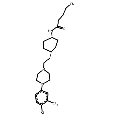 N#CCCCC(=O)N[C@H]1CC[C@H](CCN2CCN(c3ccc(Cl)c(C(F)(F)F)c3)CC2)CC1